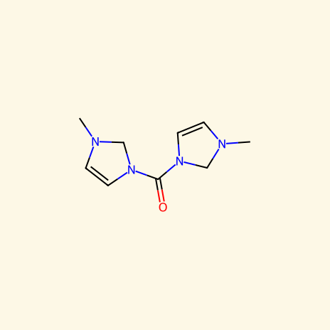 CN1C=CN(C(=O)N2C=CN(C)C2)C1